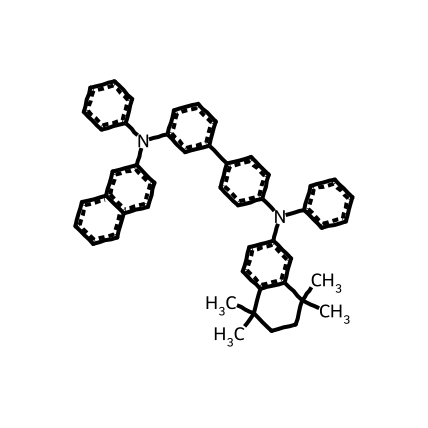 CC1(C)CCC(C)(C)c2cc(N(c3ccccc3)c3ccc(-c4cccc(N(c5ccccc5)c5ccc6ccccc6c5)c4)cc3)ccc21